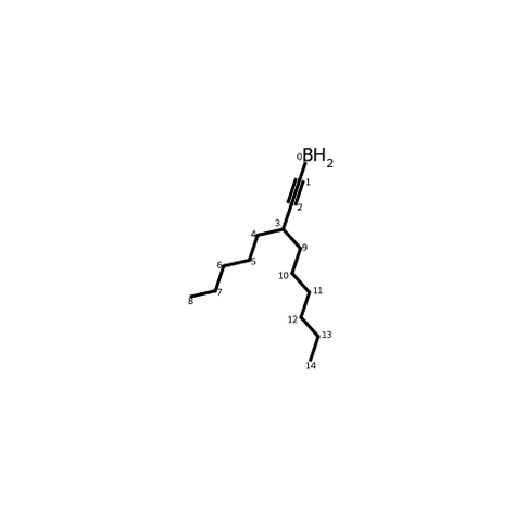 BC#CC(CCCCC)CCCCCC